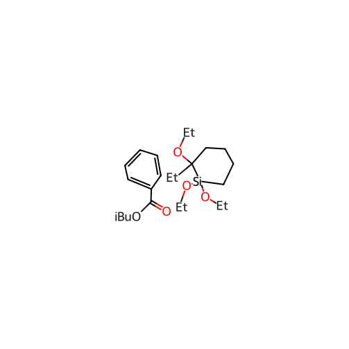 CC(C)COC(=O)c1ccccc1.CCOC1(CC)CCCC[Si]1(OCC)OCC